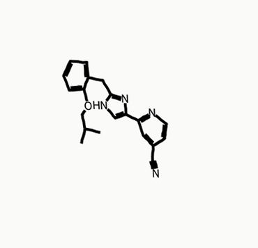 CC(C)COc1ccccc1Cc1nc(-c2cc(C#N)ccn2)c[nH]1